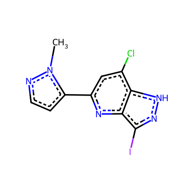 Cn1nccc1-c1cc(Cl)c2[nH]nc(I)c2n1